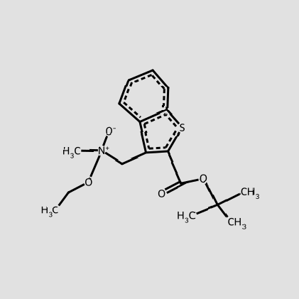 CCO[N+](C)([O-])Cc1c(C(=O)OC(C)(C)C)sc2ccccc12